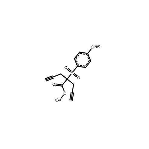 C#CCC(CC#C)(C(=O)OC(C)(C)C)S(=O)(=O)c1ccc(OC)cc1